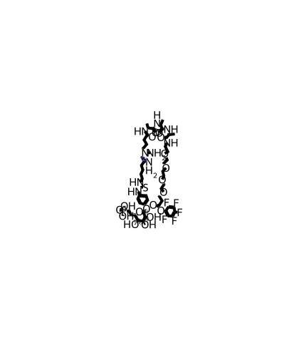 CC(NC(=O)CCCN(N)/C=C(\N)CCCCNC(=S)Nc1ccc(O[C@H]2O[C@H](CCP(=O)(O)O)[C@@H](O)[C@H](O)[C@@H]2O)cc1)C(=O)NC(C)C(=O)NC(C)C(=O)NCCOCCOCCOCCOCCC(=O)Oc1c(F)c(F)c(F)c(F)c1F